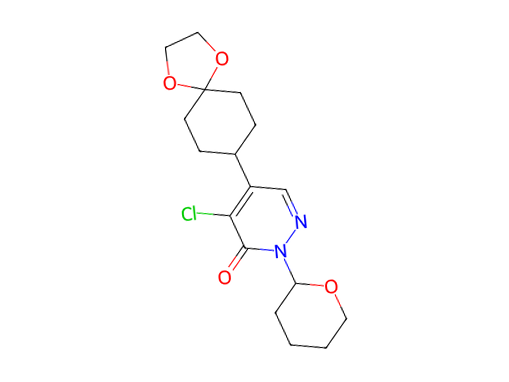 O=c1c(Cl)c(C2CCC3(CC2)OCCO3)cnn1C1CCCCO1